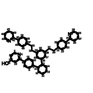 Oc1ccnc(-c2ccc(-c3ccccc3-c3cc(CCc4ccc(-c5ccccn5)cc4)cc(CCc4ccc(-c5ccccn5)cc4)c3)cc2)c1